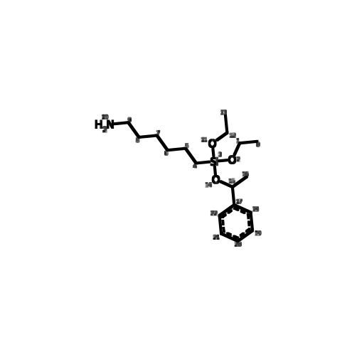 CCO[Si](CCCCCCN)(OCC)OC(C)c1ccccc1